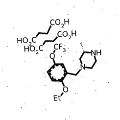 CCOc1ccc(OC(F)(F)F)cc1CN1CCN[C@@H](C)C1.O=C(O)CCC(=O)O.O=C(O)CCC(=O)O